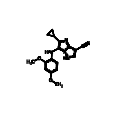 COc1ccc([AsH]c2c(C3CC3)nc3c(C#N)c[nH]n23)c(OC)c1